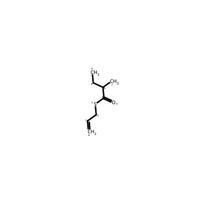 C=CCSC(=O)C(C)CC